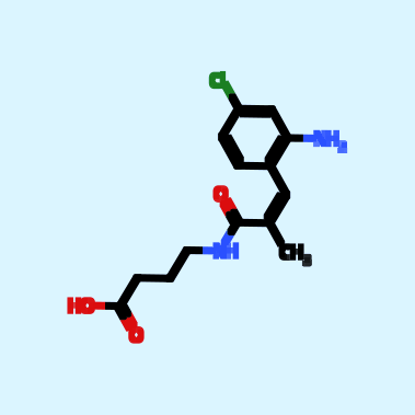 CC(=Cc1ccc(Cl)cc1N)C(=O)NCCCC(=O)O